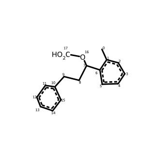 Cc1ccccc1C(CCc1ccccc1)OC(=O)O